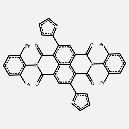 CC(C)c1cccc(C(C)C)c1N1C(=O)c2cc(-c3cccs3)c3c4c(cc(-c5cccs5)c(c24)C1=O)C(=O)N(c1c(C(C)C)cccc1C(C)C)C3=O